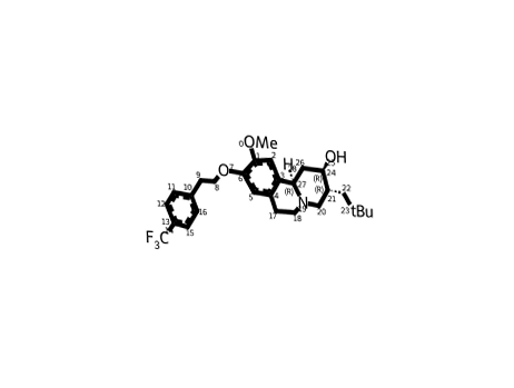 COc1cc2c(cc1OCCc1ccc(C(F)(F)F)cc1)CCN1C[C@@H](CC(C)(C)C)[C@H](O)C[C@H]21